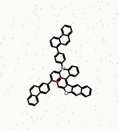 c1ccc(N(c2ccc(-c3ccc4c(ccc5ccccc54)c3)cc2)c2ccc(-c3cccc4c3ccc3ccccc34)cc2)c(-c2cccc3oc4cc5ccccc5cc4c23)c1